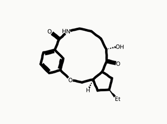 CC[C@@H]1CC2C(=O)[C@@H](O)CCCNC(=O)c3cccc(c3)OC[C@@H]2C1